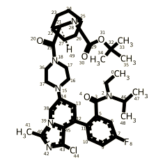 CCN(C(=O)c1cc(F)ccc1-c1cc(N2CCN(C(=O)[C@H]3C4CCC(CC4)N3C(=O)OC(C)(C)C)CC2)cn2c(C)nc(Cl)c12)C(C)C